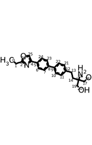 CCc1nc(-c2ccc(-c3ccc(CCC(N)(CO)CO)cc3)cc2)co1